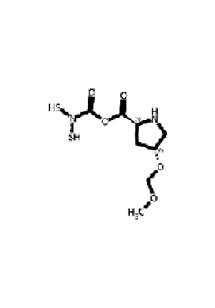 COCO[C@H]1CN[C@H](C(=O)OC(=O)N(S)S)C1